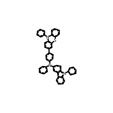 c1ccc(N(c2ccc(-c3ccc4c(c3)Sc3ccccc3N4c3ccccc3)cc2)c2ccc3c(c2)c2ccccc2n3-c2ccccc2)cc1